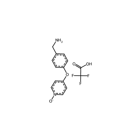 NCc1ccc(Oc2cc[n+]([O-])cc2)cc1.O=C(O)C(F)(F)F